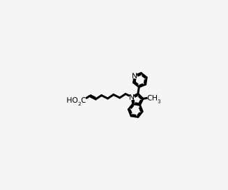 Cc1c(-c2cccnc2)n(CCCCCC=CC(=O)O)c2ccccc12